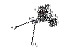 CCCCCCCCCCCCC/C=C/[C@@H](O)[C@H](CO[C@@H]1O[C@@H](CO)[C@@H](O[C@@H]2OC(CO)[C@H](O[C@@H]3OC(CO)[C@H](O)C(O[C@@H]4OC(CO)[C@H](O)C(O)[C@@H]4O)[C@@H]3NC(C)=O)C(O[C@]3(C(C)=O)C[C@@H](O)[C@@H](NC(C)=O)C([C@H](O)[C@H](O)CO)O3)[C@@H]2O)C(O)C1O)NC(=O)CCCCCCCCCCCCCCCCC